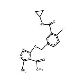 COC(=O)c1c(OCc2ccc(F)c(C(=O)NC3CC3)c2)nsc1N